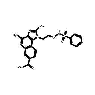 CCCCc1nc2c(N)nc3cc(C(=O)OC)ccc3c2n1CCONS(=O)(=O)c1ccccc1